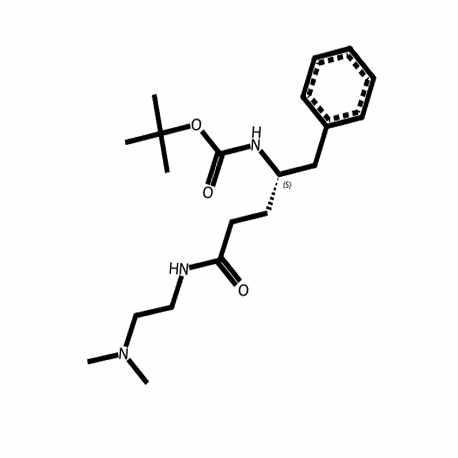 CN(C)CCNC(=O)CC[C@@H](Cc1ccccc1)NC(=O)OC(C)(C)C